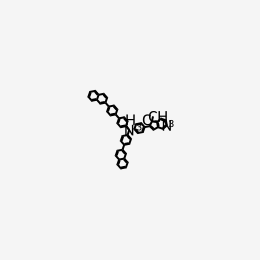 CC1(C)C(c2ccc(N(c3ccc(-c4ccc(-c5ccc6ccccc6c5)cc4)cc3)c3ccc(-c4ccc5ccccc5c4)cc3)cc2)=Cc2cnccc21